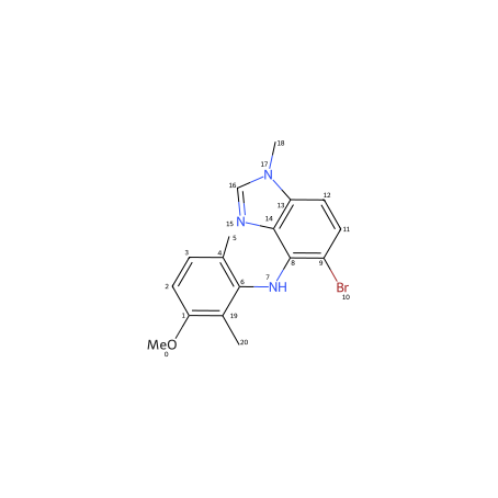 COc1ccc(C)c(Nc2c(Br)ccc3c2ncn3C)c1C